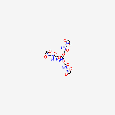 NC(COCCC(=O)NCCN1C(=O)C=CC1=O)(COCCC(=O)NCCN1C(=O)C=CC1=O)COCCC(=O)NCCN1C(=O)C=CC1=O